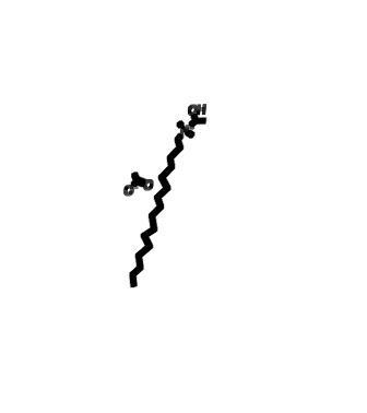 CC(=O)[O-].CCCCCCCCCCCCCCCC[N+](C)(C)C(C)O